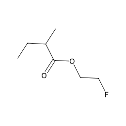 CCC(C)C(=O)OCCF